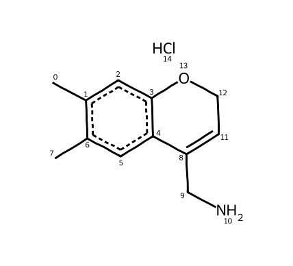 Cc1cc2c(cc1C)C(CN)=CCO2.Cl